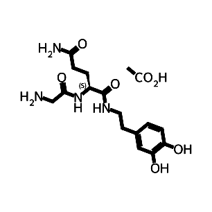 CC(=O)O.NCC(=O)N[C@@H](CCC(N)=O)C(=O)NCCc1ccc(O)c(O)c1